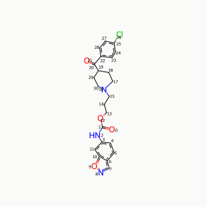 O=C(Nc1ccc2cnoc2c1)OCCCN1CCC(C(=O)c2ccc(Cl)cc2)CC1